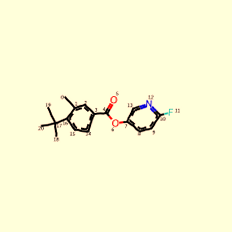 Cc1cc(C(=O)Oc2ccc(F)nc2)ccc1C(C)(C)C